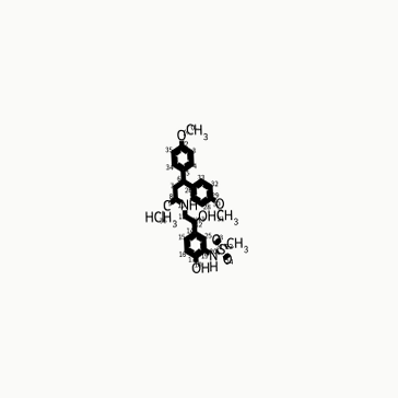 COc1ccc(C(CC(C)NC[C@H](O)c2ccc(O)c(NS(C)(=O)=O)c2)c2ccc(OC)cc2)cc1.Cl